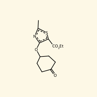 CCOC(=O)c1sc(C)nc1OC1CCC(=O)CC1